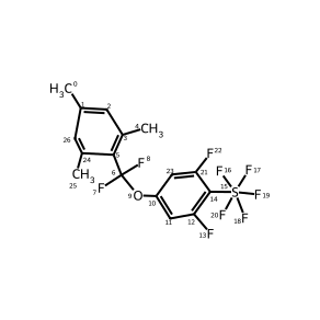 Cc1cc(C)c(C(F)(F)Oc2cc(F)c(S(F)(F)(F)(F)F)c(F)c2)c(C)c1